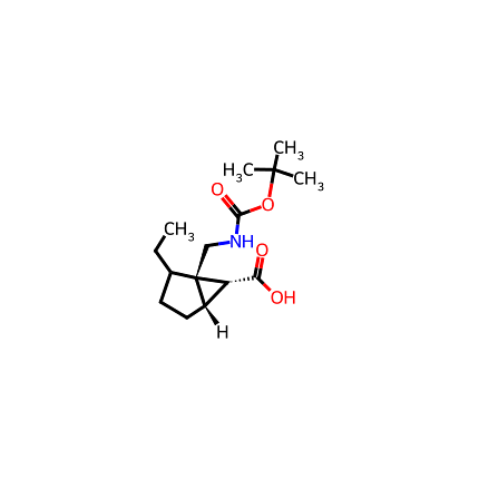 CCC1CC[C@H]2[C@@H](C(=O)O)[C@@]12CNC(=O)OC(C)(C)C